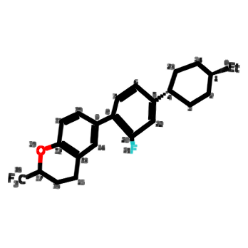 CC[C@H]1CC[C@H](c2ccc(-c3ccc4c(c3)CCC(C(F)(F)F)O4)c(F)c2)CC1